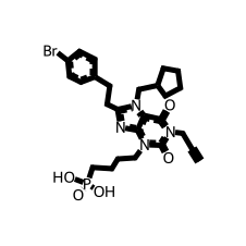 C#CCn1c(=O)c2c(nc(CCc3ccc(Br)cc3)n2CC2CCCC2)n(CCCCP(=O)(O)O)c1=O